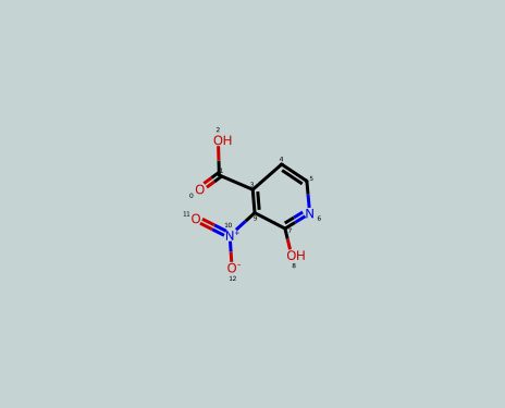 O=C(O)c1ccnc(O)c1[N+](=O)[O-]